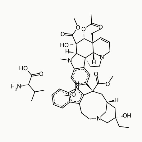 CC(C)[C@H](N)C(=O)O.CC[C@]1(O)C[C@@H]2C[N@@](CCc3c([nH]c4ccccc34)[C@@](C(=O)OC)(c3cc4c(cc3OC)N(C)[C@H]3[C@@](O)(C(=O)OC)[C@H](OC(C)=O)[C@]5(CC)C=CCN6CC[C@]43[C@@H]65)C2)C1